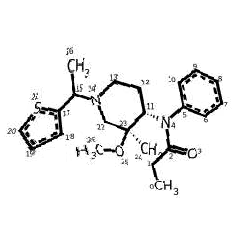 CCC(=O)N(c1ccccc1)[C@H]1CCN(C(C)c2cccs2)C[C@]1(C)OC